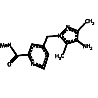 CNC(=O)c1cc(Cn2nc(C)c(N)c2C)ccn1